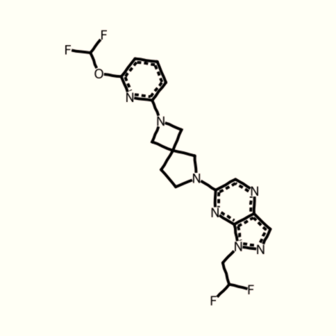 FC(F)Cn1ncc2ncc(N3CCC4(CN(c5cccc(OC(F)F)n5)C4)C3)nc21